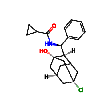 O=C(N[C@@H](c1ccccc1)[C@H]1C2C[C@H]3C[C@](Cl)(C2)C[C@@]1(O)C3)C1CC1